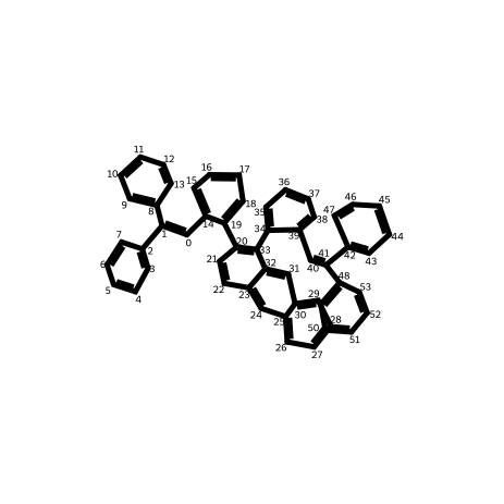 C(=C(c1ccccc1)c1ccccc1)c1ccccc1-c1ccc2cc3ccccc3cc2c1-c1ccccc1C=C(c1ccccc1)c1ccccc1